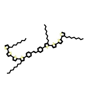 CCCCCCCCc1ccsc1-c1ccc(-c2ccc(-c3sc(-c4ccc(/C=C/c5ccc(-c6cc(CCCCCCCC)c(-c7ccc(-c8ccc(-c9sccc9CCCCCCCC)s8)s7)s6)cc5)cc4)cc3CCCCCCCC)s2)s1